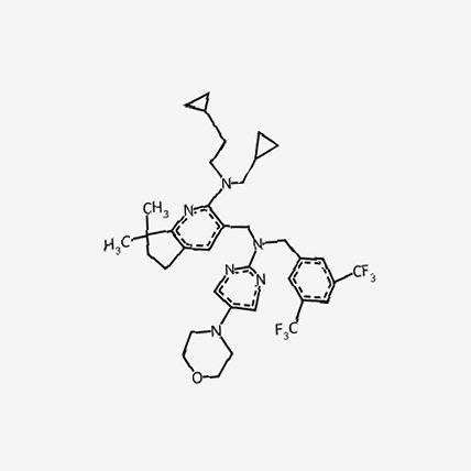 CC1(C)CCc2cc(CN(Cc3cc(C(F)(F)F)cc(C(F)(F)F)c3)c3ncc(N4CCOCC4)cn3)c(N(CCC3CC3)CC3CC3)nc21